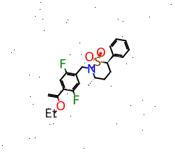 C=C(OCC)c1cc(F)c(CN2[C@@H](C)CC[C@H](c3ccccc3)S2(=O)=O)cc1F